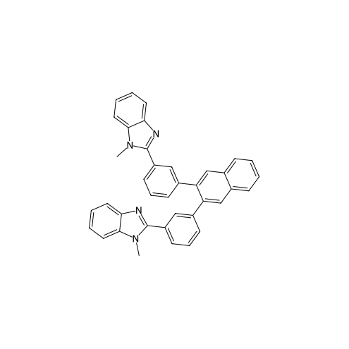 Cn1c(-c2cccc(-c3cc4ccccc4cc3-c3cccc(-c4nc5ccccc5n4C)c3)c2)nc2ccccc21